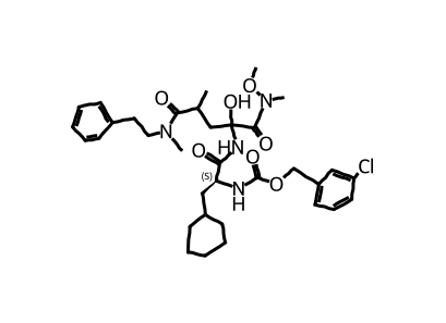 CON(C)C(=O)C(O)(CC(C)C(=O)N(C)CCc1ccccc1)NC(=O)[C@H](CC1CCCCC1)NC(=O)OCc1cccc(Cl)c1